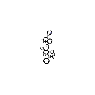 C=CN(/C=C\C)c1cc(C)nc2c(OCc3c(Cl)cnc(N(C(C)=O)c4ccccc4)c3Cl)cccc12